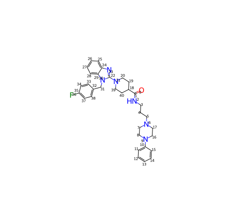 O=C(NCCCN1CCN(c2ccccc2)CC1)C1CCN(c2nc3ccccc3n2Cc2ccc(F)cc2)CC1